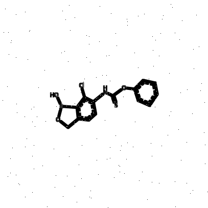 OB1OCc2ccc(NC(=S)Oc3ccccc3)c(Cl)c21